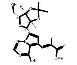 COC(=O)/C(C)=C/c1cc([C@@H]2O[C@H](CO)[C@H]3OC(C)(C)O[C@]32C)n2ncnc(N)c12